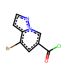 O=C(Cl)c1cc(Br)c2ccnn2c1